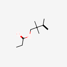 C=C(C)C(C)(C)COC(=O)CC